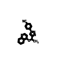 CC(Oc1ccnc2ccccc12)c1cn(-c2ccc(C#N)cc2)nn1